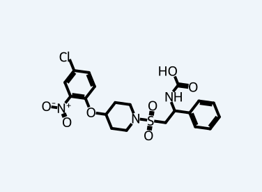 O=C(O)NC(CS(=O)(=O)N1CCC(Oc2ccc(Cl)cc2[N+](=O)[O-])CC1)c1ccccc1